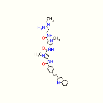 CC/N=C(\N)CCNC(=O)c1cc(NC(=O)c2cc(NC(=O)c3ccc(/C=C/c4cnc5ccccc5c4)cc3)cn2C)cn1C